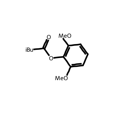 CCC(C)C(=O)Oc1c(OC)cccc1OC